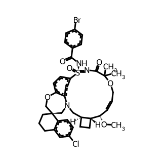 CO[C@H]1C=CCOC(C)(C)C(=O)N=[S@](=O)(NC(=O)c2ccc(Br)cc2)c2ccc3c(c2)N(C[C@@H]2CC[C@H]21)C[C@@]1(CCCc2cc(Cl)ccc21)CO3